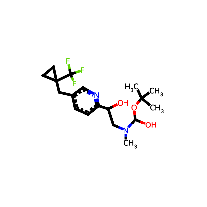 CN(CC(O)c1ccc(CC2(C(F)(F)F)CC2)cn1)C(O)OC(C)(C)C